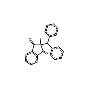 CC1(C(c2ccccc2)c2ccccc2)C(=O)c2ccccc2C1=O